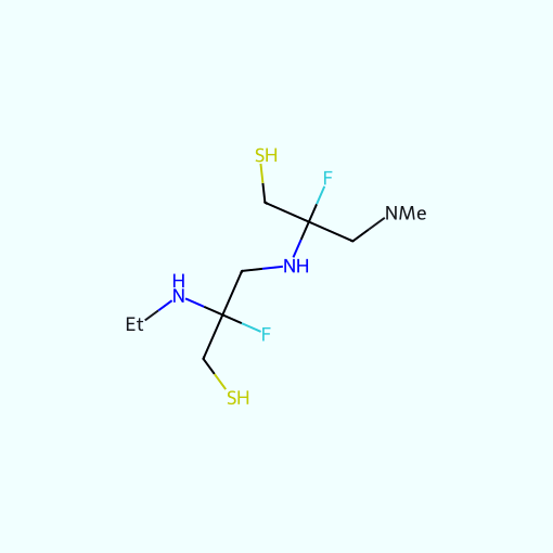 CCNC(F)(CS)CNC(F)(CS)CNC